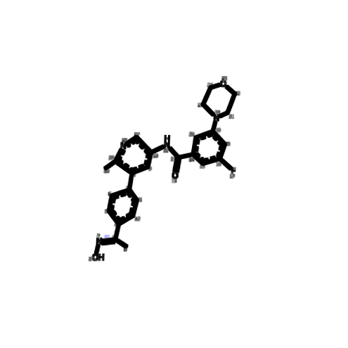 C/C(=N\O)c1ccc(-c2cc(NC(=O)c3cc(F)cc(N4CCOCC4)c3)cnc2C)cc1